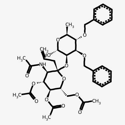 C=CC[C@@]1(O[C@@H]2[C@H](OCc3ccccc3)[C@@H](OCc3ccccc3)[C@H](C)O[C@H]2O)O[C@H](COC(C)=O)[C@@H](OC(C)=O)[C@H](OC(C)=O)[C@H]1NC(C)=O